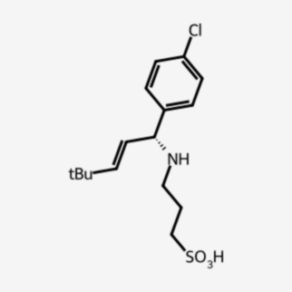 CC(C)(C)/C=C/[C@@H](NCCCS(=O)(=O)O)c1ccc(Cl)cc1